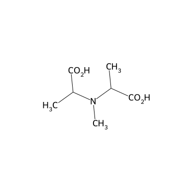 CC(C(=O)O)N(C)C(C)C(=O)O